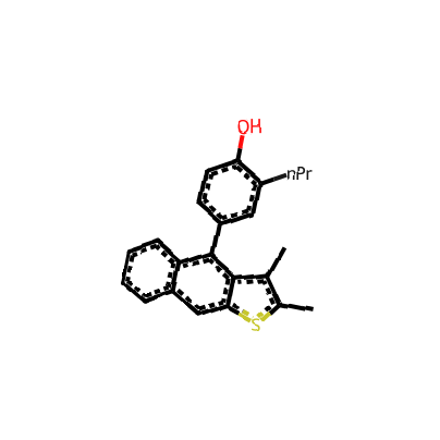 CCCc1cc(-c2c3ccccc3cc3sc(C)c(C)c23)ccc1O